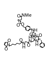 CNC(=O)CN(C)C(=O)OCc1ccc(NC(=O)CNC(=O)[C@H](Cc2ccccc2)NC(=O)CNC(=O)CNC(=O)CCCCCN2C(=O)C=CC2=O)cc1